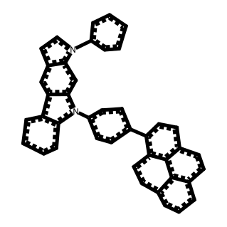 c1ccc(-n2ccc3cc4c5ccccc5n(-c5ccc(-c6ccc7ccc8cccc9ccc6c7c89)cc5)c4cc32)cc1